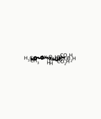 CN(C)c1ccc(/C=C/c2cc[n+](CCCNC(=O)NCCCC[C@H](NC(=O)N[C@@H](CCC(=O)O)C(=O)O)C(=O)O)cc2)cc1